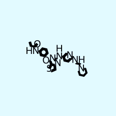 C=CC(=O)Nc1cccc(Oc2nc(Nc3ccc(NCCN4CCCCC4)nc3)nc3ccsc23)c1